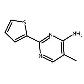 Cc1cnc(-c2cccs2)nc1N